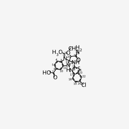 CCN1c2ccc(C(=O)O)cc2NC1(Nc1nc2ccc(Cl)cc2s1)C(OC)C(N)=O